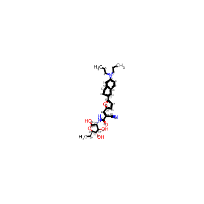 CCCN(CCC)c1ccc2cc(-c3ccc(/C=C(\C#N)C(=O)N[C@H]4C(O)O[C@H](CC)[C@@H](O)[C@@H]4O)o3)ccc2c1